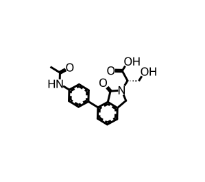 CC(=O)Nc1ccc(-c2cccc3c2C(=O)N([C@@H](CO)C(=O)O)C3)cc1